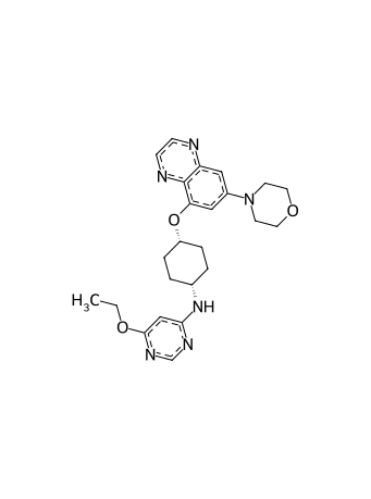 CCOc1cc(N[C@H]2CC[C@@H](Oc3cc(N4CCOCC4)cc4nccnc34)CC2)ncn1